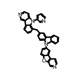 c1cncc(-n2c3ccncc3c3cccc(Cc4ccc5c(c4)c4ccccc4n5-c4ccc5oc6cnccc6c5c4)c32)c1